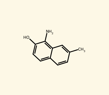 Cc1ccc2ccc(O)c(N)c2c1